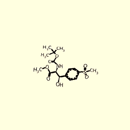 COC(=O)[C@@H](NC(=O)OC(C)(C)C)[C@H](O)c1ccc(S(C)(=O)=O)cc1